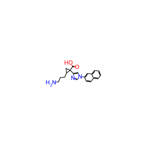 NCCCC1CC1(C(=O)O)c1cn(-c2ccc3ccccc3c2)cn1